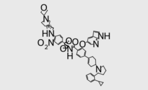 O=C(NS(=O)(=O)c1ccc(NC[C@H]2CCN(C3COC3)C2)c([N+](=O)[O-])c1)c1ccc(C2=CCC(N3CCCC3c3ccccc3C3CC3)CC2)cc1Oc1cnc2[nH]ccc2c1